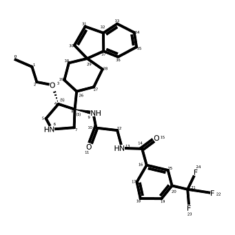 CCCO[C@H]1CNC[C@@]1(NC(=O)CNC(=O)c1cccc(C(F)(F)F)c1)C1CCC2(C=Cc3ccccc32)CC1